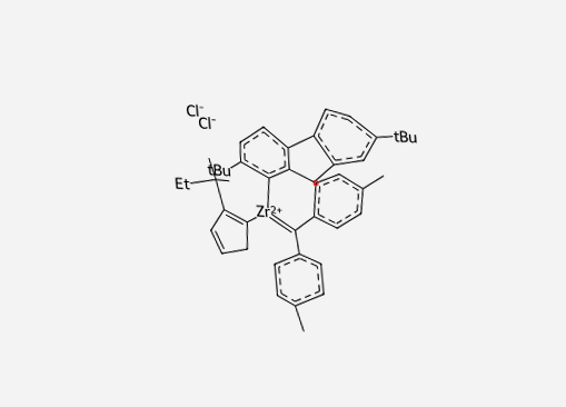 CCC(C)(C)C1=[C]([Zr+2](=[C](c2ccc(C)cc2)c2ccc(C)cc2)[c]2c(C(C)(C)C)ccc3c2Cc2cc(C(C)(C)C)ccc2-3)CC=C1.[Cl-].[Cl-]